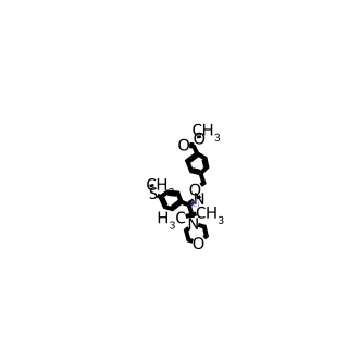 COC(=O)c1ccc(CO/N=C(\c2ccc(SC)cc2)C(C)(C)N2CCOCC2)cc1